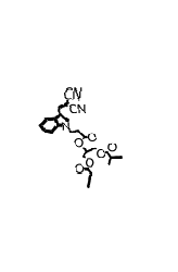 C=CC(=O)OCC(COC(=O)C(=C)C)OC(=O)CCn1cc(C=C(C#N)C#N)c2ccccc21